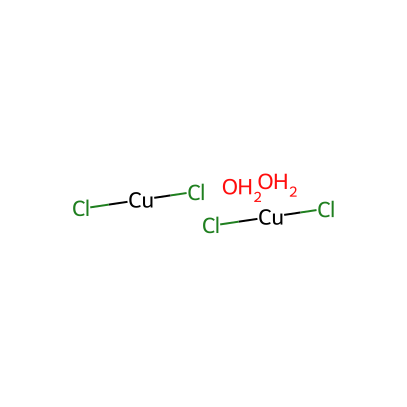 O.O.[Cl][Cu][Cl].[Cl][Cu][Cl]